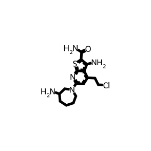 NC(=O)c1sc2nc(N3CCCCC(N)C3)cc(CCCl)c2c1N